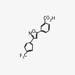 O=C(O)c1cccc(-c2cc(-c3ccc(C(F)(F)F)cc3)no2)c1